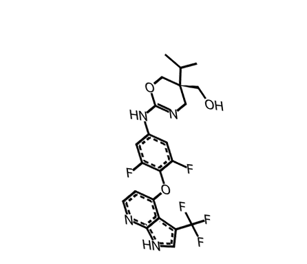 CC(C)[C@]1(CO)CN=C(Nc2cc(F)c(Oc3ccnc4[nH]cc(C(F)(F)F)c34)c(F)c2)OC1